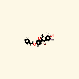 CCc1oc2cc(OCCc3ccccc3)ccc2c1C(=O)c1cc(I)c(O)c(I)c1